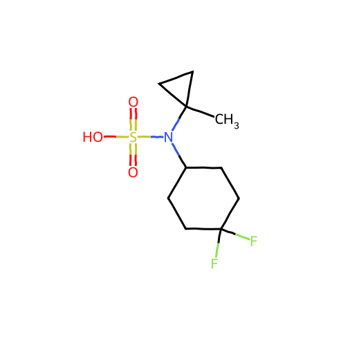 CC1(N(C2CCC(F)(F)CC2)S(=O)(=O)O)CC1